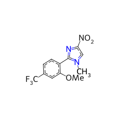 COc1cc(C(F)(F)F)ccc1-c1nc([N+](=O)[O-])cn1C